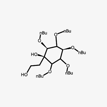 CCCCOC1C(OCCCC)[C@](O)(CCO)[C@@H](OCCCC)C(OCCCC)[C@H]1OCCCC